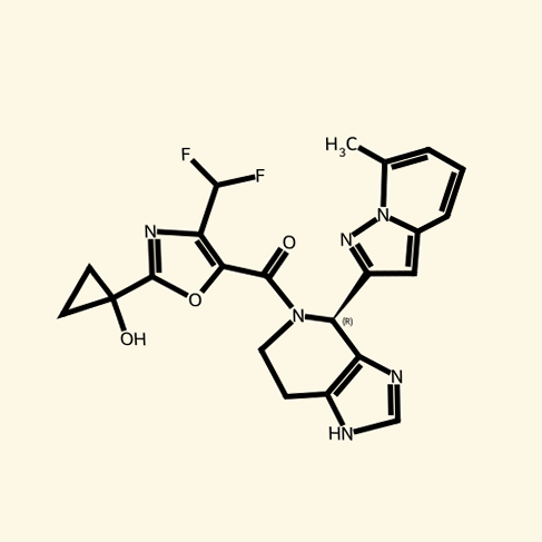 Cc1cccc2cc([C@H]3c4nc[nH]c4CCN3C(=O)c3oc(C4(O)CC4)nc3C(F)F)nn12